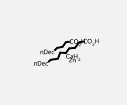 CCCCCCCCCCCCCC(=O)O.CCCCCCCCCCCCCCCCCC(=O)O.[CaH2].[Zn]